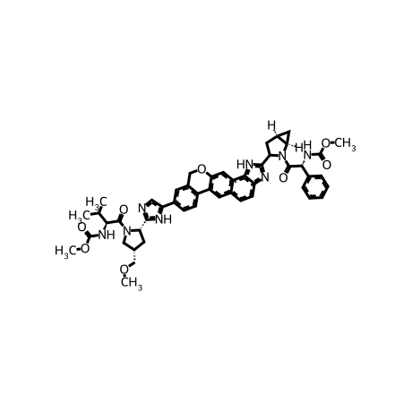 COC[C@H]1C[C@@H](c2ncc(-c3ccc4c(c3)COc3cc5c(ccc6nc(C7C[C@H]8C[C@H]8N7C(=O)[C@H](NC(=O)OC)c7ccccc7)[nH]c65)cc3-4)[nH]2)N(C(=O)[C@@H](NC(=O)OC)C(C)C)C1